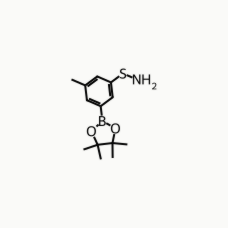 Cc1cc(SN)cc(B2OC(C)(C)C(C)(C)O2)c1